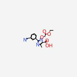 CCOC(=O)COn1c(-c2cccc(C#N)c2)nc(C)c1C(=O)O